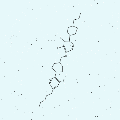 CCCCCc1ccc(C2CCC(COc3ccc(C4CCC(CCC)CC4)c(F)c3F)CC2)c(F)c1